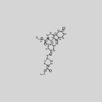 CCOC(=O)N1CCC(COc2ccc(C3c4[nH]c5ccc(Cl)cc5c4CCN3C(=O)OCC)cc2)CC1